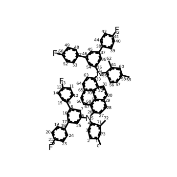 Cc1ccc(N(c2cc(-c3ccc(F)cc3)cc(-c3ccc(F)cc3)c2)c2ccc3ccc4c(N(c5cc(-c6ccc(F)cc6)cc(-c6ccc(F)cc6)c5)c5ccc(C)cc5C)ccc5ccc2c3c54)c(C)c1